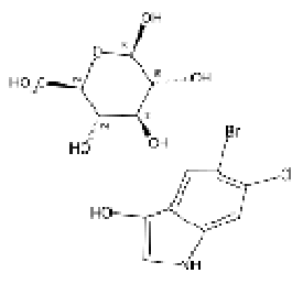 O=C(O)[C@H]1O[C@@H](O)[C@H](O)[C@@H](O)[C@@H]1O.Oc1c[nH]c2cc(Cl)c(Br)cc12